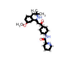 COc1ccc2c(c1)/C(=C/C(=O)c1ccc(NC(=O)c3ccccn3)cc1)NC(C)(C)C2